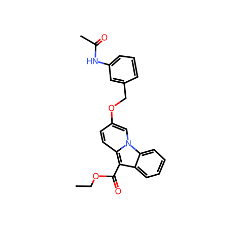 CCOC(=O)c1c2ccccc2n2cc(OCc3cccc(NC(C)=O)c3)ccc12